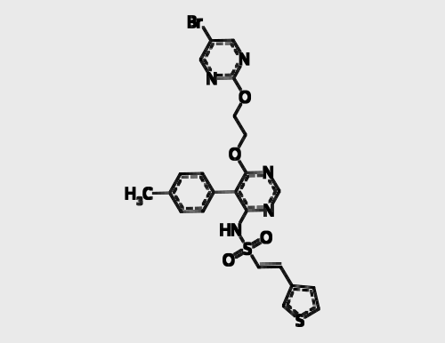 Cc1ccc(-c2c(NS(=O)(=O)C=Cc3ccsc3)ncnc2OCCOc2ncc(Br)cn2)cc1